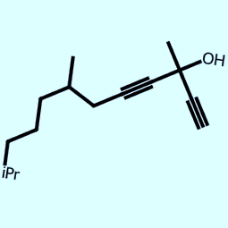 C#CC(C)(O)C#CCC(C)CCCC(C)C